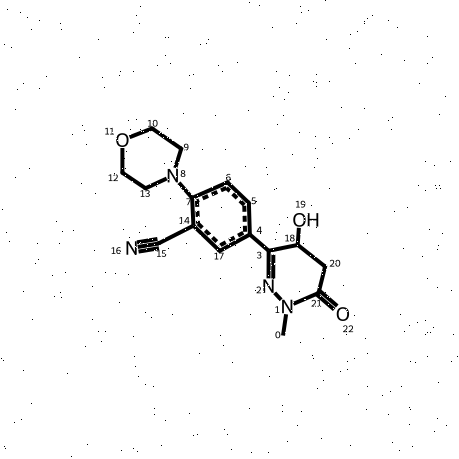 CN1N=C(c2ccc(N3CCOCC3)c(C#N)c2)C(O)CC1=O